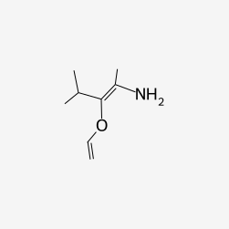 C=CO/C(=C(/C)N)C(C)C